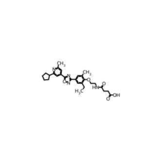 CCc1cc(-c2noc(-c3cc(C)nc(C4CCCC4)c3)n2)cc(C)c1OCCNC(=O)CCC(=O)O